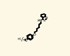 COc1ccc(OCCCCCCNc2ncnc3ccccc23)cc1